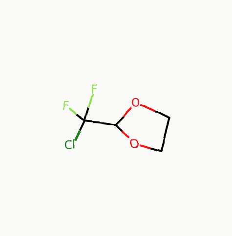 FC(F)(Cl)C1OCCO1